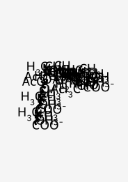 CC(=O)OC(CC(=O)[O-])C[N+](C)(C)C.CC(=O)OCC(C)OC(=O)[C@H](C)N.CC(=O)OCC(COC(C)=O)OC(C)=O.CC(C)=O.CC(C)=O.CC(C)=O.CC(C)=O.CC(C)=O.C[C@@H](O)[C@H](N)C(=O)OC(CC(=O)[O-])C[N+](C)(C)C.C[N+](C)(C)CC(O)CC(=O)[O-].C[N+](C)(C)CC(O)CC(=O)[O-].C[N+](C)(C)CC(O)CC(=O)[O-].OCCO